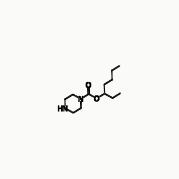 CCCCC(CC)OC(=O)N1CCNCC1